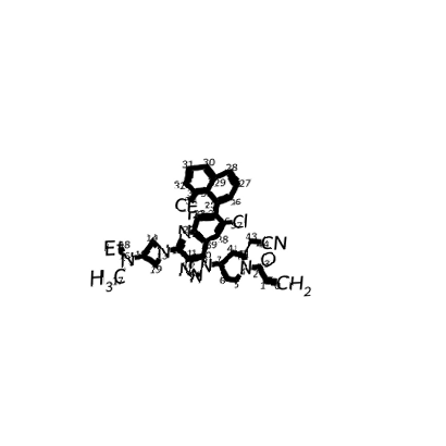 C=CC(=O)N1CCC(n2nnc3c(N4CC(N(C)CC)C4)nc4c(F)c(-c5cccc6cccc(Cl)c56)c(Cl)cc4c32)C[C@H]1CC#N